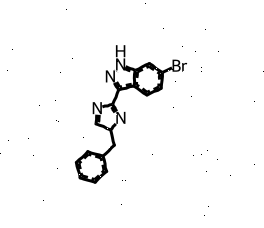 Brc1ccc2c(C3=NC(Cc4ccccc4)C=N3)n[nH]c2c1